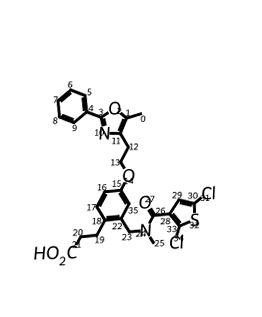 Cc1oc(-c2ccccc2)nc1CCOc1ccc(CCC(=O)O)c(CN(C)C(=O)c2cc(Cl)sc2Cl)c1